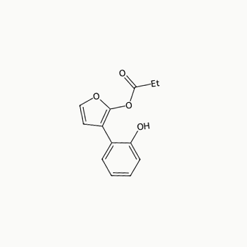 CCC(=O)Oc1occc1-c1ccccc1O